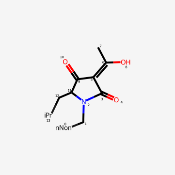 CCCCCCCCCCN1C(=O)C(=C(C)O)C(=O)C1CC(C)C